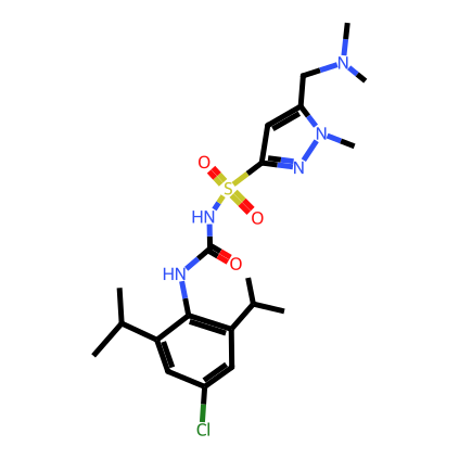 CC(C)c1cc(Cl)cc(C(C)C)c1NC(=O)NS(=O)(=O)c1cc(CN(C)C)n(C)n1